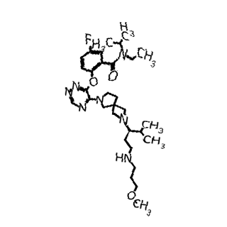 CCN(C(=O)c1cc(F)ccc1Oc1nncnc1N1CCC2(C1)CN([C@H](CCNCCCOC)C(C)C)C2)C(C)C